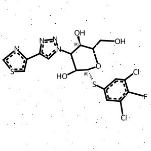 OCC1O[C@H](Sc2cc(Cl)c(F)c(Cl)c2)C(O)C(n2cc(-c3cscn3)nn2)[C@H]1O